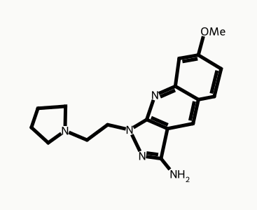 COc1ccc2cc3c(N)nn(CCN4CCCC4)c3nc2c1